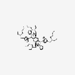 CCCCC(CC)Cc1csc(C2=c3cc4c(cc3N(CC(CC)CCCC)C2=O)=C(c2cc(CC(CC)CCCC)cs2)C(=O)N4CC(CC)CCCC)c1